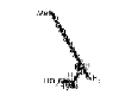 COCCOCCOCCOCCOCCOCCOCCOCCC(=O)N[C@@H](CCCCN)C(=O)NCCCC[C@H](NC(=O)CCC(=O)O)C(N)=O